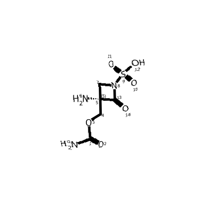 NC(=O)OC[C@@]1(N)CN(S(=O)(=O)O)C1=O